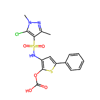 Cc1nn(C)c(Cl)c1S(=O)(=O)Nc1cc(-c2ccccc2)sc1OC(=O)O